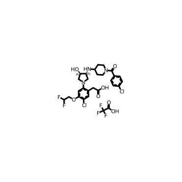 O=C(O)C(F)(F)F.O=C(O)Cc1cc(Cl)c(OCC(F)F)cc1N1C[C@@H](O)[C@H](NC2CCN(C(=O)c3ccc(Cl)cc3)CC2)C1